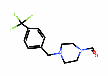 O=[C]N1CCN(Cc2ccc(C(F)(F)F)cc2)CC1